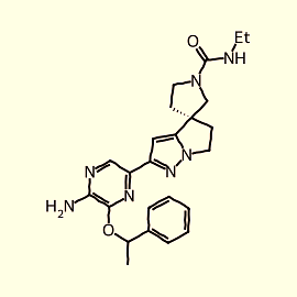 CCNC(=O)N1CC[C@@]2(CCn3nc(-c4cnc(N)c(OC(C)c5ccccc5)n4)cc32)C1